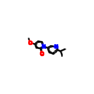 COc1ccn(-c2ccc(C(C)C)nc2)c(=O)c1